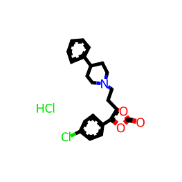 Cl.O=c1oc(CCN2CCC(c3ccccc3)CC2)c(-c2ccc(Cl)cc2)o1